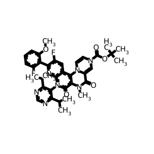 COc1cccc(F)c1-c1nc2c(cc1F)c1c(c(=O)n2-c2c(C(C)C)ncnc2C(C)C)N(C)C(=O)C2=CN(C(=O)OC(C)(C)C)C=CN21